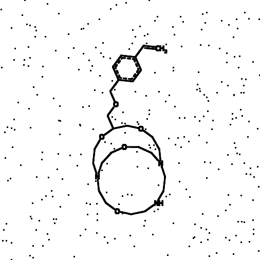 C=Cc1ccc(COCC2COCCN3CCNCCOCCN(CCOCC3)CCO2)cc1